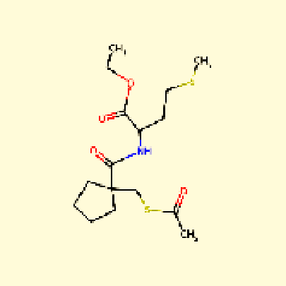 CCOC(=O)C(CCSC)NC(=O)C1(CSC(C)=O)CCCC1